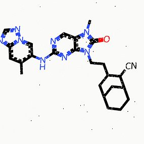 Cc1cc2ncnn2cc1Nc1ncc2c(n1)n(CCC1CC3CCCC(C3)C1C#N)c(=O)n2C